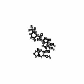 C[C@H]1CN2CCC[C@H]2CN1C(=O)N1Cc2c(NC(=O)c3cc(C(F)(F)F)ccc3F)n[nH]c2C1(C)C